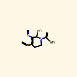 C=CC1=C(N=C)C(CCCC)N(C(=C)CCC)CC1